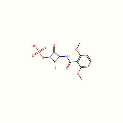 COc1cccc(OC)c1C(=O)N[C@@H]1C(=O)N(OS(=O)(=O)O)C1C